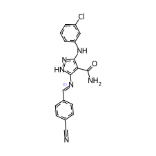 N#Cc1ccc(/C=N/c2[nH]nc(Nc3cccc(Cl)c3)c2C(N)=O)cc1